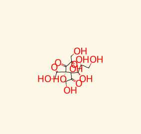 O=C(CO)C(=O)[C@](O)(C(=O)CO)[C@](O)(C(=O)CO)[C@H](O)[C@H](O)CO